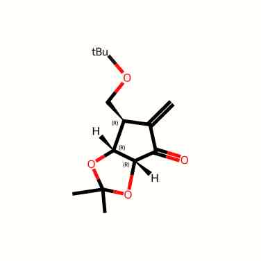 C=C1C(=O)[C@@H]2OC(C)(C)O[C@@H]2[C@H]1COC(C)(C)C